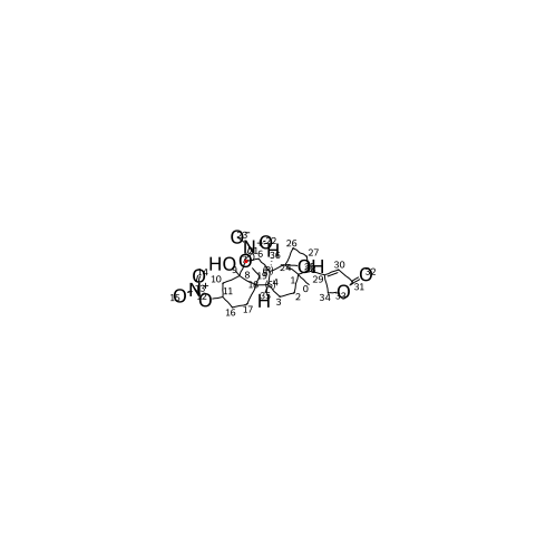 CC12CC[C@H]3[C@@H](CCC4(O)CC(O[N+](=O)[O-])CCC34CO[N+](=O)[O-])C1(O)CCC2C1=CC(=O)OC1